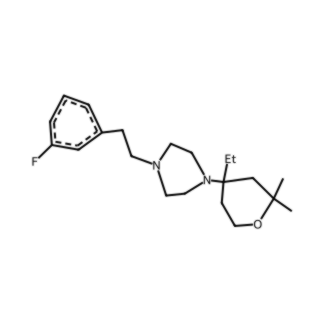 CCC1(N2CCN(CCc3cccc(F)c3)CC2)CCOC(C)(C)C1